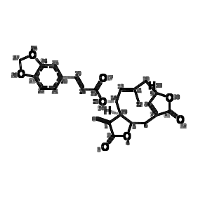 C=C1C(=O)OC2CC3=C[C@@H](C/C(C)=C/[C@@H](OC(=O)/C=C/c4ccc5c(c4)OCO5)[C@H]12)OC3=O